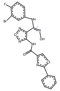 O=C(Nc1nonc1/C(=N\O)Nc1ccc(F)c(Br)c1)c1csc(-c2ccccc2)n1